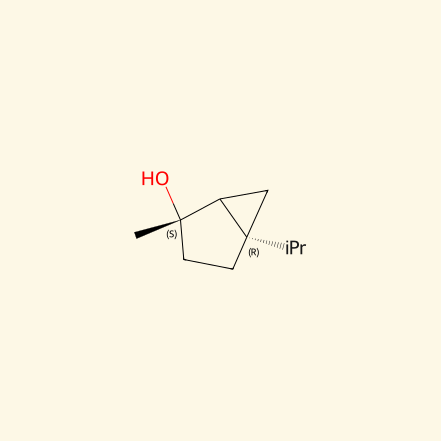 CC(C)[C@]12CC[C@](C)(O)C1C2